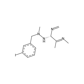 C=N[C@@H](NN(C)Cc1cccc(I)c1)/C(C)=N/C